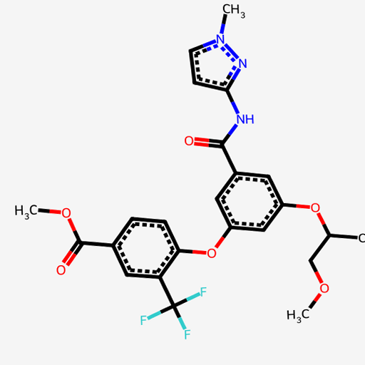 COCC(C)Oc1cc(Oc2ccc(C(=O)OC)cc2C(F)(F)F)cc(C(=O)Nc2ccn(C)n2)c1